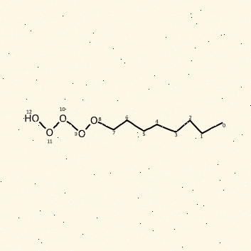 CCCCCCCCOOOOO